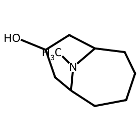 CN1C2CCCCC1CC(O)C2